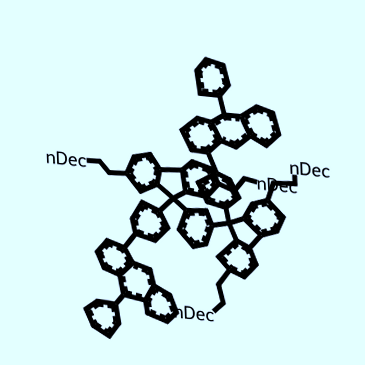 CCCCCCCCCCCCc1ccc2c(c1)C(c1ccc(-c3cccc4c(-c5ccccc5)c5ccccc5cc34)cc1)(c1cccc(C3(c4ccc(-c5cccc6c(-c7ccccc7)c7ccccc7cc56)cc4)c4cc(CCCCCCCCCCCC)ccc4-c4ccc(CCCCCCCCCCCC)cc43)c1)c1cc(CCCCCCCCCCCC)ccc1-2